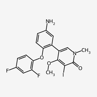 COc1c(-c2cc(N)ccc2Oc2ccc(F)cc2F)cn(C)c(=O)c1I